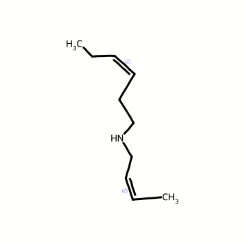 C/C=C\CNCC/C=C\CC